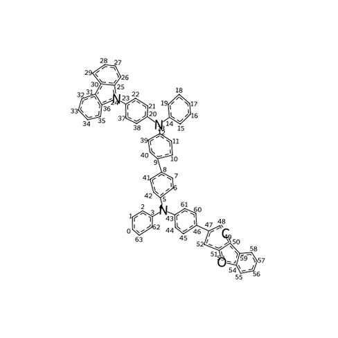 c1ccc(N(c2ccc(-c3ccc(N(c4ccccc4)c4ccc(-n5c6ccccc6c6ccccc65)cc4)cc3)cc2)c2ccc(-c3ccc4c(c3)oc3ccccc34)cc2)cc1